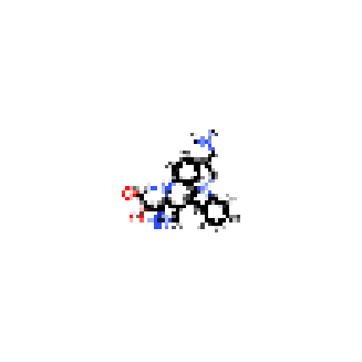 CN(C)CCCn1cc(-c2c[nH]c(C(=O)C=O)c2Nc2ccccc2)c2ccccc21